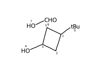 CC(C)(C)C1CC(O)C1.O=CO